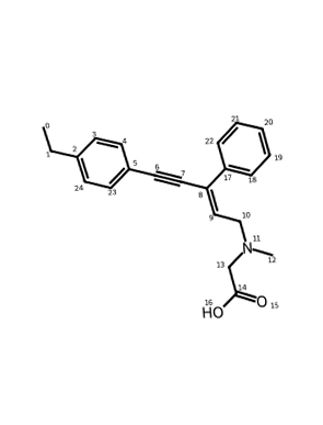 CCc1ccc(C#C/C(=C/CN(C)CC(=O)O)c2ccccc2)cc1